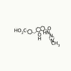 CN1CCN(CNC(=O)c2ccc3ccc(Cc4ccc(C(=O)O)cc4)c(O)c3c2)CC1